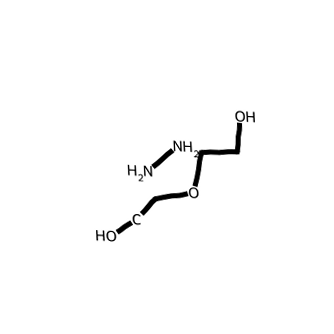 NN.OCCOCCO